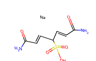 NC(=O)C=CC(C=CC(N)=O)S(=O)(=O)O.[Na]